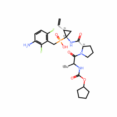 C=C[C@@H]1C[C@]1(NC(=O)[C@@H]1CCCN1C(=O)C(NC(=O)OC1CCCC1)C(C)(C)C)P(=O)(O)Cc1c(F)ccc(N)c1F